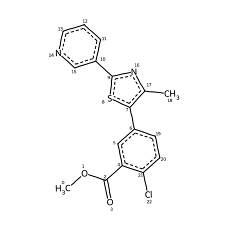 COC(=O)c1cc(-c2sc(-c3cccnc3)nc2C)ccc1Cl